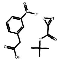 CC(C)(C)OC(=O)C1=NO1.O=C(O)Cc1cccc([N+](=O)[O-])c1